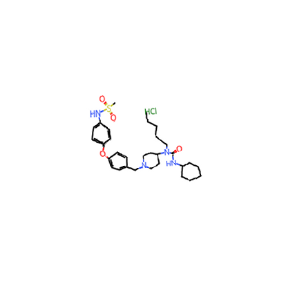 CCCCCN(C(=O)NC1CCCCC1)C1CCN(Cc2ccc(Oc3ccc(NS(C)(=O)=O)cc3)cc2)CC1.Cl